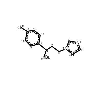 CCCCC(CCn1cncn1)c1ccc(Cl)cc1